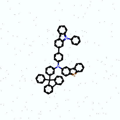 c1ccc(-n2c3ccccc3c3ccc(-c4ccc(N(c5cccc(C6(c7ccccc7)c7ccccc7-c7ccccc76)c5)c5ccc6sc7ccccc7c6c5)cc4)cc32)cc1